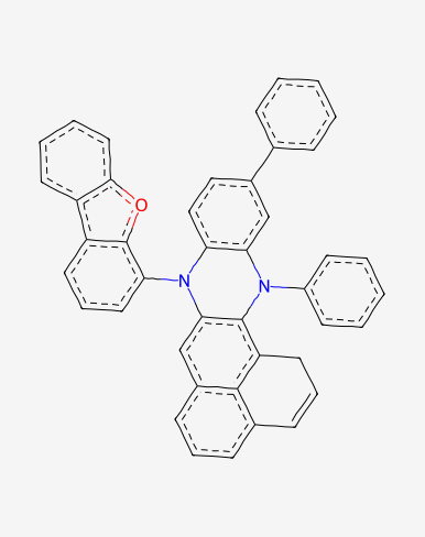 C1=Cc2cccc3cc4c(c(c23)C1)N(c1ccccc1)c1cc(-c2ccccc2)ccc1N4c1cccc2c1oc1ccccc12